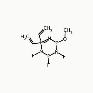 C=CP1(C=C)=NP(OC)N(F)P(F)N1F